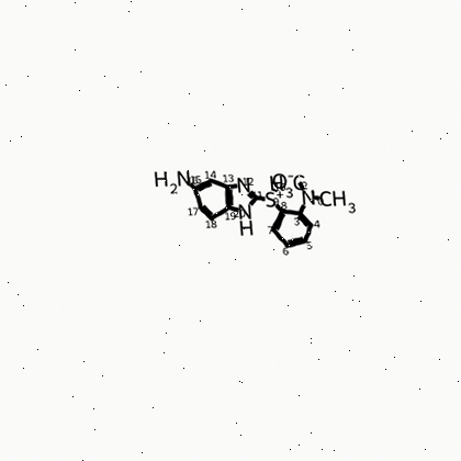 CN(C)c1ccccc1[S+]([O-])c1nc2cc(N)ccc2[nH]1